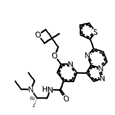 CCN(CC)[C@@H](C)CNC(=O)c1cc(OCC2(C)COC2)nc(-c2cnn3ccc(-c4cccs4)nc23)c1